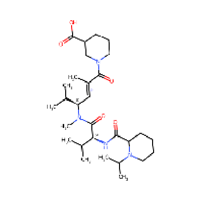 C/C(=C\[C@H](C(C)C)N(C)C(=O)[C@@H](NC(=O)C1CCCCN1C(C)C)C(C)C)C(=O)N1CCCC(C(=O)O)C1